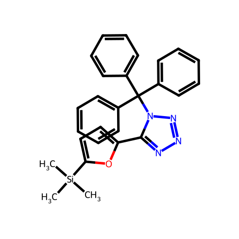 C[Si](C)(C)c1ccc(-c2nnnn2C(c2ccccc2)(c2ccccc2)c2ccccc2)o1